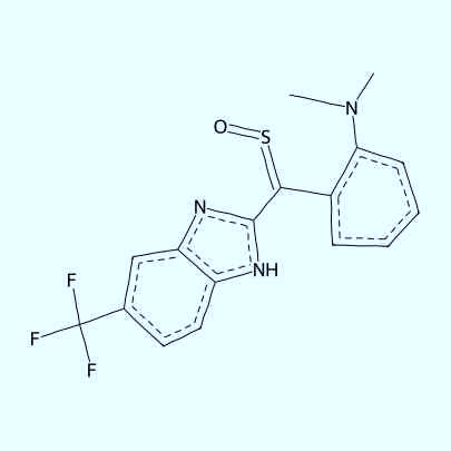 CN(C)c1ccccc1C(=S=O)c1nc2cc(C(F)(F)F)ccc2[nH]1